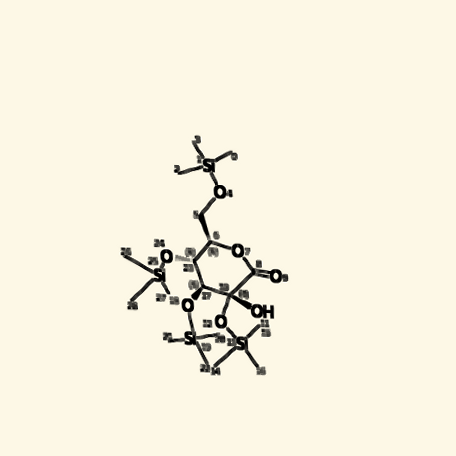 C[Si](C)(C)OC[C@H]1OC(=O)[C@](O)(O[Si](C)(C)C)[C@@H](O[Si](C)(C)C)[C@@H]1O[Si](C)(C)C